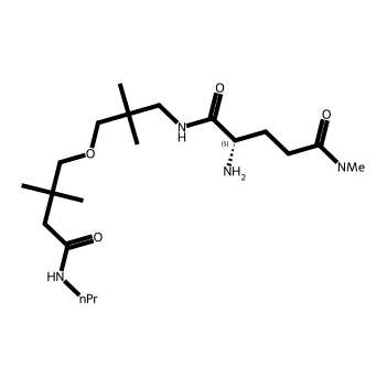 CCCNC(=O)CC(C)(C)COCC(C)(C)CNC(=O)[C@@H](N)CCC(=O)NC